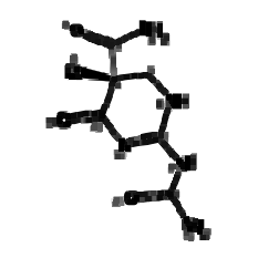 CC[C@@]1(C(N)=O)CNC(NC(N)=O)=NC1=O